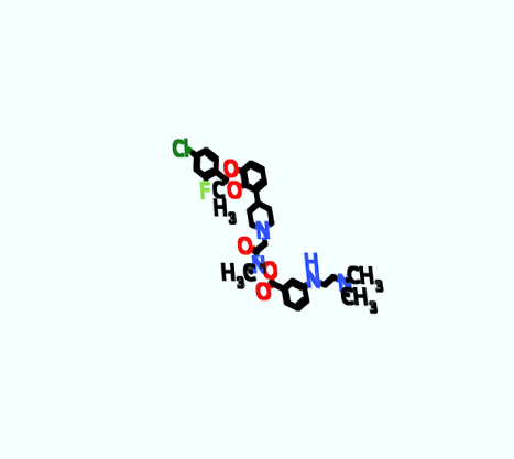 CN(C)CCNc1cccc(C(=O)ON(C)C(=O)CN2CCC(c3cccc4c3OC(C)(c3ccc(Cl)cc3F)O4)CC2)c1